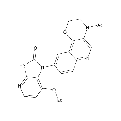 CCOc1ccnc2[nH]c(=O)n(-c3ccc4ncc5c(c4c3)OCCN5C(C)=O)c12